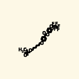 CCC1(COCCCCCCOc2ccc(C(=O)Oc3ccc(OC(F)(F)C(F)C(F)(F)F)cc3)cc2)COC1